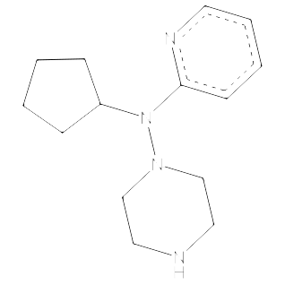 c1ccc(N(C2CCCC2)N2CCNCC2)nc1